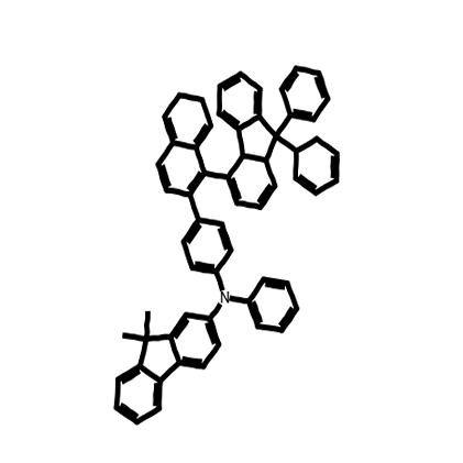 CC1(C)c2ccccc2-c2ccc(N(c3ccccc3)c3ccc(-c4ccc5c(c4C4=CC=CC6C4c4ccccc4C6(c4ccccc4)C4C=CC=CC4)=CCCC=5)cc3)cc21